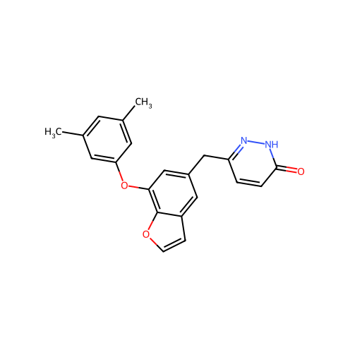 Cc1cc(C)cc(Oc2cc(Cc3ccc(=O)[nH]n3)cc3ccoc23)c1